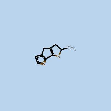 CC1CC2=C(S1)c1sccc1C2